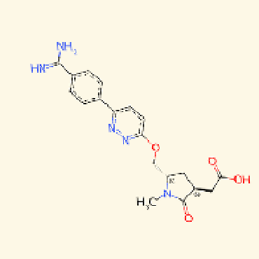 CN1C(=O)[C@H](CC(=O)O)C[C@H]1COc1ccc(-c2ccc(C(=N)N)cc2)nn1